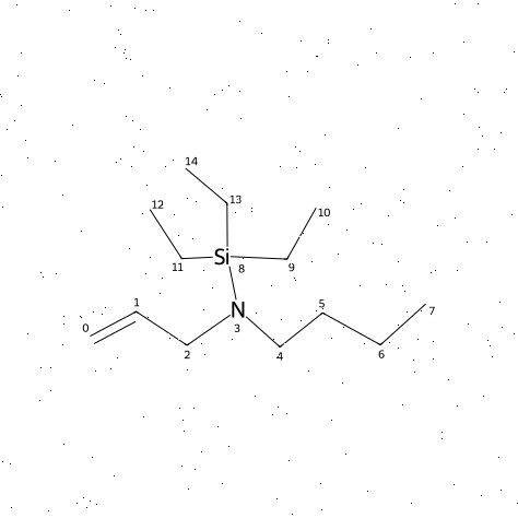 C=CCN(CCCC)[Si](CC)(CC)CC